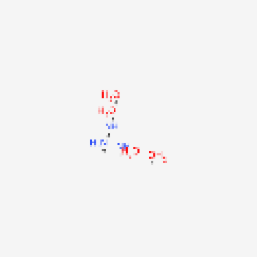 N.N.N.O.O.O.O